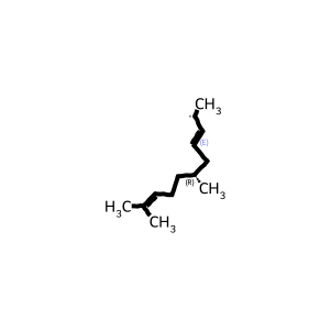 C[CH]/C=C/C[C@H](C)CCC=C(C)C